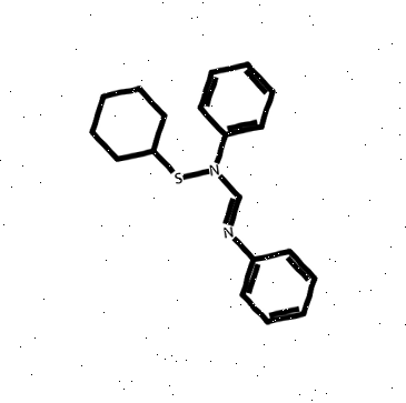 C(=Nc1ccccc1)N(SC1CCCCC1)c1ccccc1